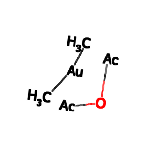 CC(=O)OC(C)=O.[CH3][Au][CH3]